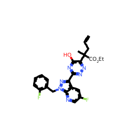 C=CCC(C)(C(=O)OCC)c1nnc(-c2nn(Cc3ccccc3F)c3ncc(F)cc23)nc1O